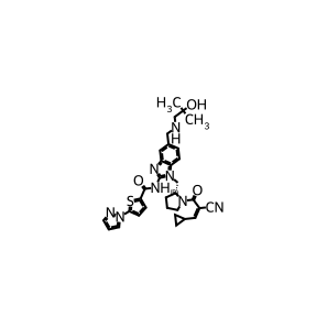 CC(C)(O)CNCc1ccc2c(c1)nc(NC(=O)c1ccc(-n3cccn3)s1)n2C[C@H]1CCCN1C(=O)C(C#N)=CC1CC1